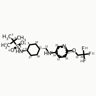 CC(C)(C)S(=O)(=O)N[C@H]1CC[C@H](CNc2ccc(OCC(F)(F)F)nc2)CC1